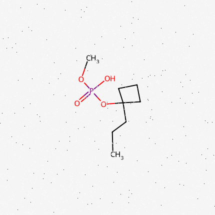 CCCC1(OP(=O)(O)OC)CCC1